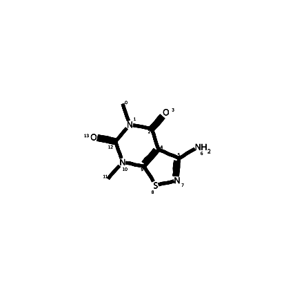 Cn1c(=O)c2c(N)nsc2n(C)c1=O